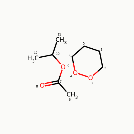 C1CCOOC1.CC(=O)OC(C)C